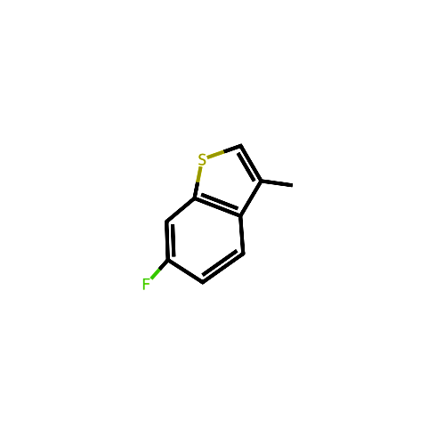 Cc1csc2cc(F)ccc12